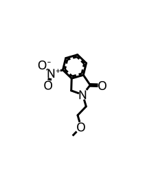 COCCN1Cc2c(cccc2[N+](=O)[O-])C1=O